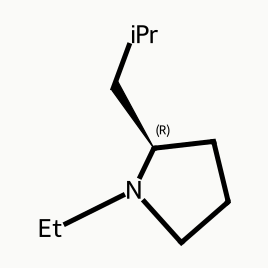 CCN1CCC[C@@H]1CC(C)C